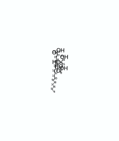 CC(=O)O.CCCCCCCCC=CCCCCCCCC(=O)O.OCC(O)CO